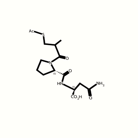 CC(=O)SCC(C)C(=O)N1CCC[C@H]1C(=O)N[C@@H](CC(N)=O)C(=O)O